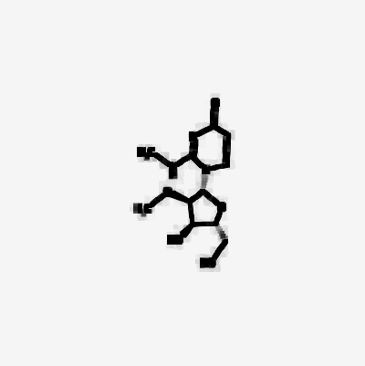 CNc1nc(=O)ccn1[C@@H]1O[C@H](CO)[C@@H](O)[C@H]1OC